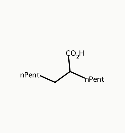 [CH2]CCCCC(CCCCCC)C(=O)O